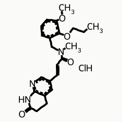 CCCOc1c(CN(C)C(=O)/C=C/c2cnc3c(c2)CCC(=O)N3)cccc1OC.Cl